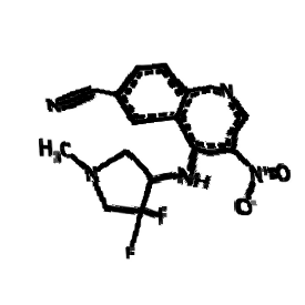 CN1CC(Nc2c([N+](=O)[O-])cnc3ccc(C#N)cc23)C(F)(F)C1